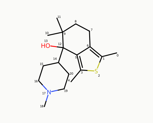 Cc1sc(C)c2c1CCC(C)(C)C2(O)C1CCN(C)CC1